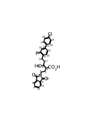 O=C(O)[C@@H](CCN1C(=O)c2ccccc2C1=O)[C@H](O)CCc1ccc(-c2ccc(Cl)cc2)cc1F